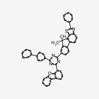 CC1(C)c2cc(-c3nc(-c4ccc(-c5ccccc5)cc4)nc(-c4cccc5c4oc4ccccc45)n3)ccc2-c2ccc3nc(-c4ccccc4)sc3c21